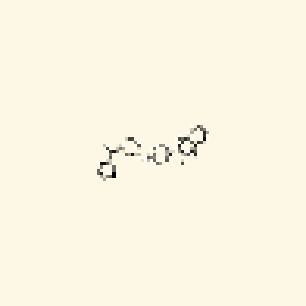 Cc1nc2ccccc2nc1N1CCN(CC2CCCN(C(C)c3ccccc3)C2)CC1